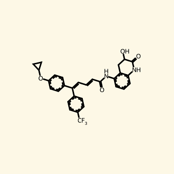 O=C(C=CC=C(c1ccc(OC2CC2)cc1)c1ccc(C(F)(F)F)cc1)Nc1cccc2c1CC(O)C(=O)N2